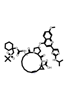 COc1ccc2c(O[C@@H]3CC4C(=O)N[C@]5(C(=O)O)CC5/C=C\CCCCC[C@H](NC(=O)OC5(CS(=O)(=O)C(C)(C)C)CCCCC5)C(=O)N4C3)cc(-c3csc(NC(C)C)n3)nc2c1